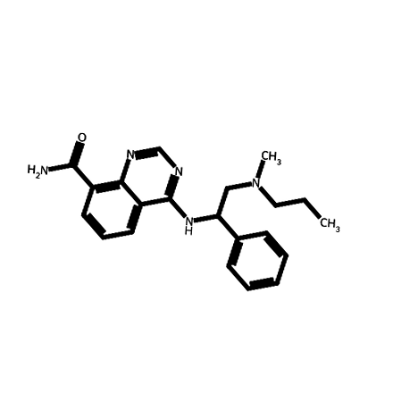 CCCN(C)CC(Nc1ncnc2c(C(N)=O)cccc12)c1ccccc1